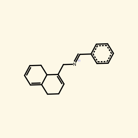 C1=CCC2C(=C1)CCC=C2C/N=C/c1ccccc1